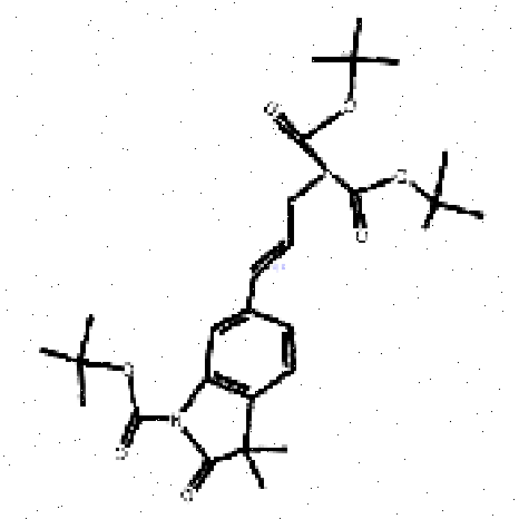 CC(C)(C)OC(=O)N(C/C=C/c1ccc2c(c1)N(C(=O)OC(C)(C)C)C(=O)C2(C)C)C(=O)OC(C)(C)C